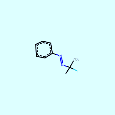 CCCCC(C)(F)/N=N/c1ccccc1